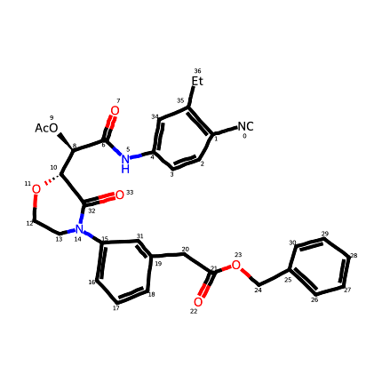 [C-]#[N+]c1ccc(NC(=O)[C@H](OC(C)=O)[C@H]2OCCN(c3cccc(CC(=O)OCc4ccccc4)c3)C2=O)cc1CC